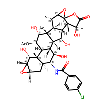 CC(=O)O[C@H]1[C@H]2[C@@H]([C@@H](O)[C@H](NC(=O)c3ccc(Cl)cc3)[C@H]3C[C@@H]4O[C@@H]4[C@H](O)[C@]23C)[C@@H]2[C@@H](O)[C@@H]3[C@H]([C@H](C)[C@H]4O[C@]45OC(=O)[C@@](C)(O)[C@]35C)[C@@]2(C(C)=O)[C@H]1O